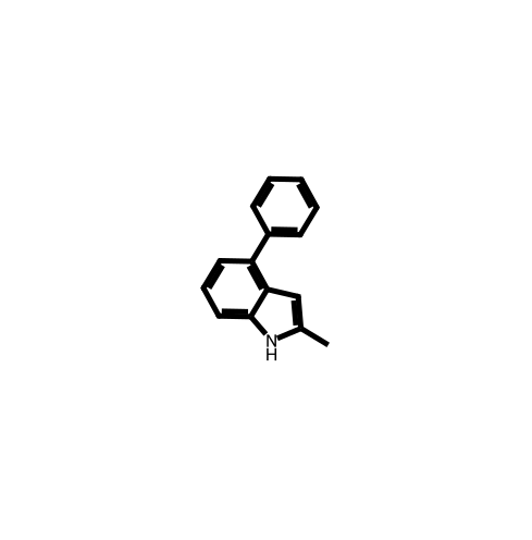 Cc1cc2c(-c3ccccc3)cccc2[nH]1